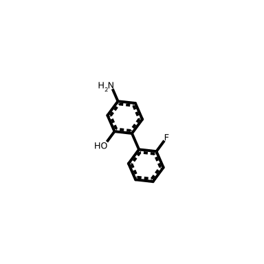 Nc1ccc(-c2ccccc2F)c(O)c1